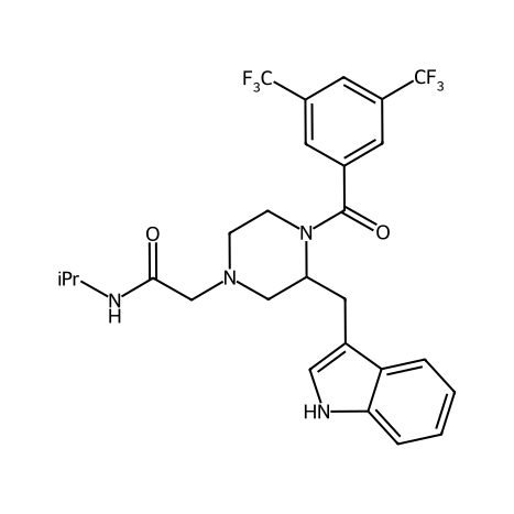 CC(C)NC(=O)CN1CCN(C(=O)c2cc(C(F)(F)F)cc(C(F)(F)F)c2)C(Cc2c[nH]c3ccccc23)C1